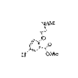 COC(=O)c1cc(Cl)ccc1OCCNC(C)=O